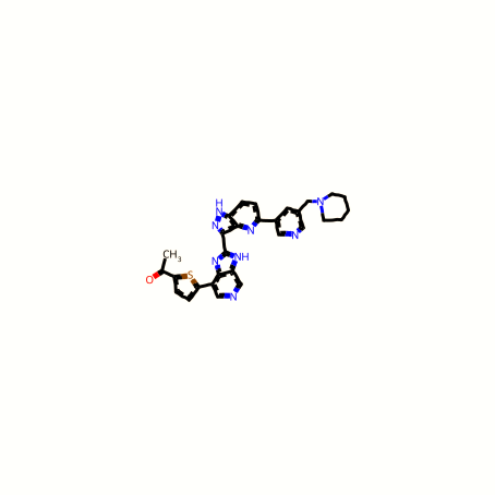 CC(=O)c1ccc(-c2cncc3[nH]c(-c4n[nH]c5ccc(-c6cncc(CN7CCCCC7)c6)nc45)nc23)s1